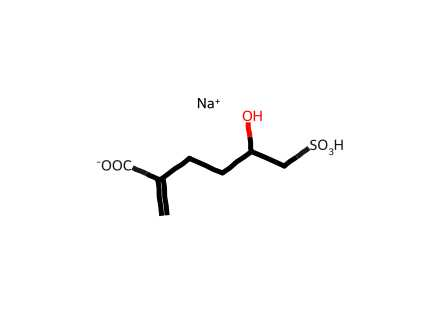 C=C(CCC(O)CS(=O)(=O)O)C(=O)[O-].[Na+]